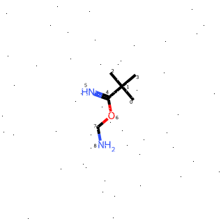 CC(C)(C)C(=N)OCN